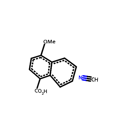 C#N.COc1ccc(C(=O)O)c2ccccc12